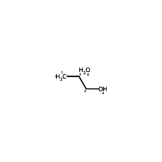 O.[CH2]CCO